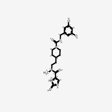 CN(CCC1CCN(C(=O)OCc2cc(Cl)cc(Cl)c2)CC1)C(=O)c1coc(=O)[nH]1